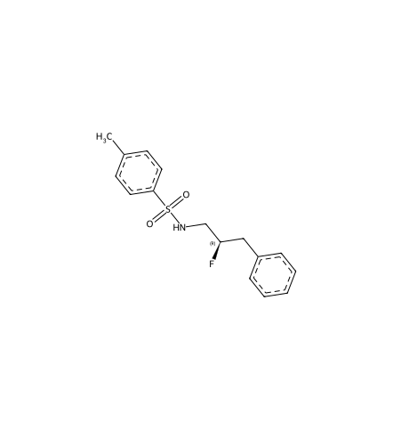 Cc1ccc(S(=O)(=O)NC[C@H](F)Cc2ccccc2)cc1